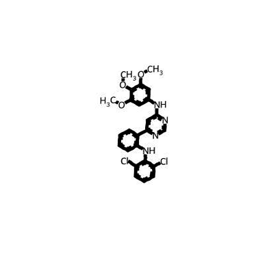 COc1cc(Nc2cc(-c3ccccc3Nc3c(Cl)cccc3Cl)ncn2)cc(OC)c1OC